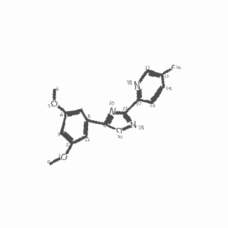 COc1cc(OC)cc(-c2nc(-c3ccc(F)cn3)no2)c1